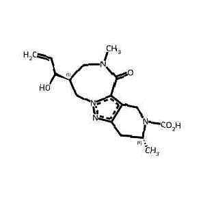 C=CC(O)[C@H]1CN(C)C(=O)c2c3c(nn2C1)C[C@@H](C)N(C(=O)O)C3